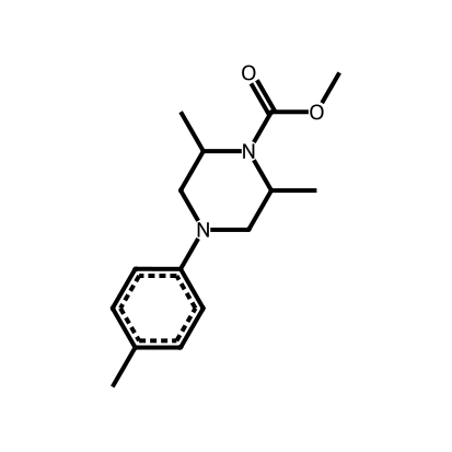 COC(=O)N1C(C)CN(c2ccc(C)cc2)CC1C